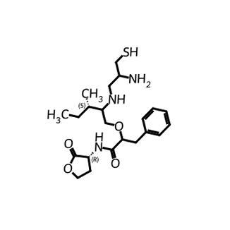 CC[C@H](C)C(COC(Cc1ccccc1)C(=O)N[C@@H]1CCOC1=O)NCC(N)CS